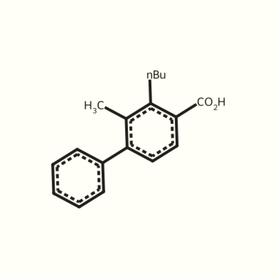 CCCCc1c(C(=O)O)ccc(-c2ccccc2)c1C